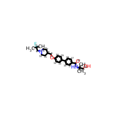 CC(C)(F)CN1CCC(COc2ccc(-c3ccc(C(=O)NC(C)(C)CO)cc3)cc2)CC1